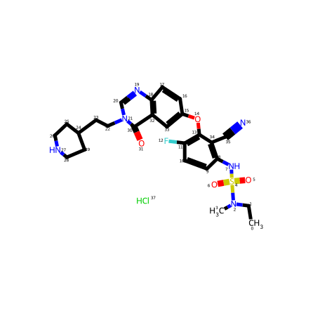 CCN(C)S(=O)(=O)Nc1ccc(F)c(Oc2ccc3ncn(CCC4CCNCC4)c(=O)c3c2)c1C#N.Cl